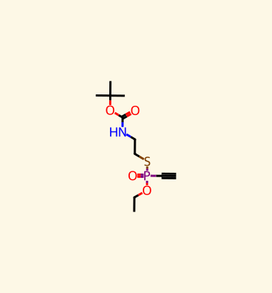 C#CP(=O)(OCC)SCCNC(=O)OC(C)(C)C